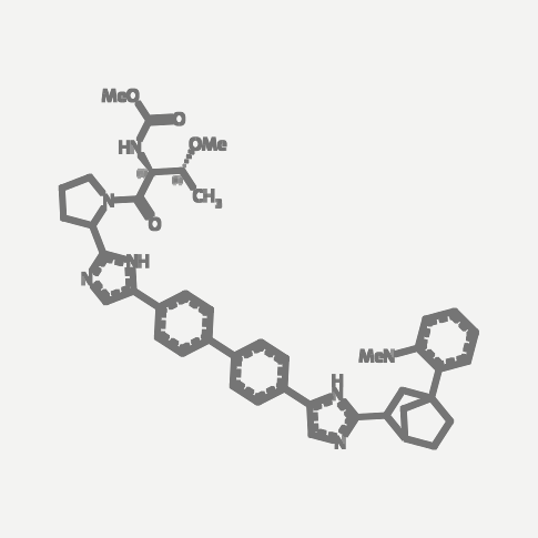 CNc1ccccc1C12CCC(C1)C(c1ncc(-c3ccc(-c4ccc(-c5cnc(C6CCCN6C(=O)[C@@H](NC(=O)OC)[C@@H](C)OC)[nH]5)cc4)cc3)[nH]1)C2